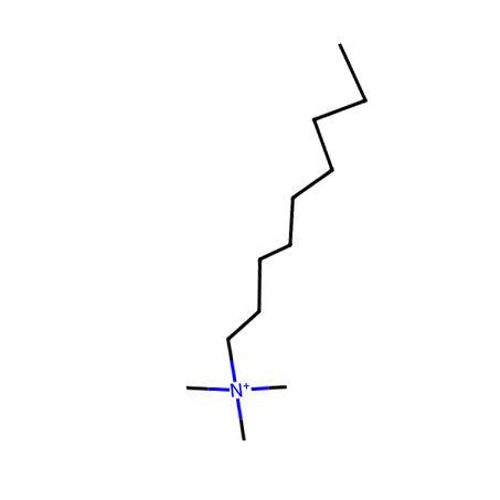 CCCCCCCCC[N+](C)(C)C